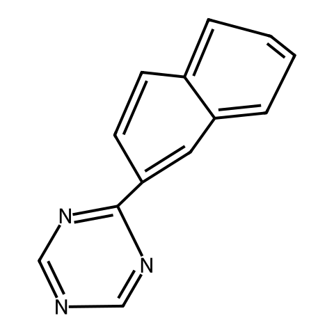 c1ccc2cc(-c3ncncn3)ccc2c1